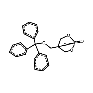 O=P12OCC(COC(c3ccccc3)(c3ccccc3)c3ccccc3)(CO1)CO2